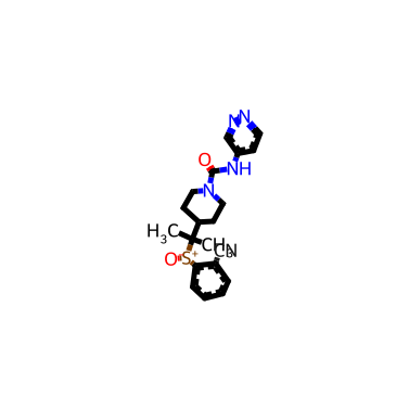 CC(C)(C1CCN(C(=O)Nc2ccnnc2)CC1)[S+]([O-])c1ccccc1C#N